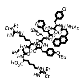 CCN(CC)C(=N)NCCCC[C@H](NC(=O)[C@H](CC(C)C)NC(=O)[C@@H](CCCCNC(=N)N(CC)CC)NC(=O)[C@H](Cc1ccc(OC(C)(C)C)cc1)NC(=O)[C@H](COC(C)(C)C)NC(=O)[C@@H](Cc1cccnc1)NC(=O)[C@@H](Cc1ccc(Cl)cc1)NC(=O)[C@@H](Cc1ccc2ccccc2c1)NC(C)=O)C(=O)O